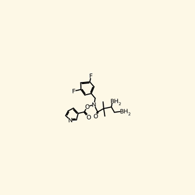 BCC(B)C(C)(C)C(=O)N(Cc1cc(F)cc(F)c1)OC(=O)c1cccnc1